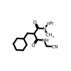 CCCN(C)C(=O)C(CC1CCCCC1)C(=O)NCC#N